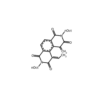 C=C1C(=O)N(CCCCCCCC)C(=O)c2ccc3c(c21)/C(=C\C)C(=O)N(CCCCCCCC)C3=O